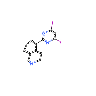 Ic1cc(I)nc(-c2cccc3cnccc23)n1